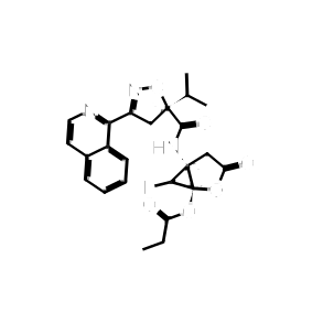 CCC(=O)O[C@]12OC(=O)C[C@]1(NC(=O)[C@]1(C(C)C)CC(c3nccc4ccccc34)=NO1)C2F